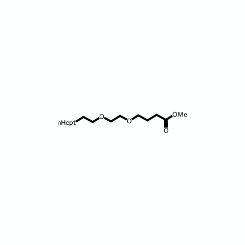 CCCCCCCCCOCCOCCCC(=O)OC